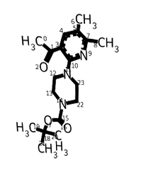 CC(=O)c1cc(C)c(C)nc1N1CCN(C(=O)OC(C)(C)C)CC1